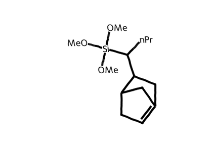 CCCC(C1CC2=CCC1C2)[Si](OC)(OC)OC